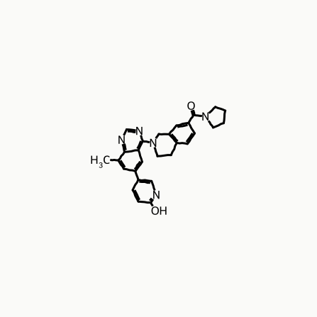 Cc1cc(-c2ccc(O)nc2)cc2c(N3CCc4ccc(C(=O)N5CCCC5)cc4C3)ncnc12